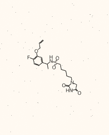 C=CCOc1cc(C(C)NS(=O)(=O)CCCCCN2CC(=O)NC2=O)ccc1F